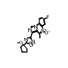 COC1(c2nc(-c3ncn4c3c(C)[n+]([O-])c3cc(F)ccc34)no2)CCCC1